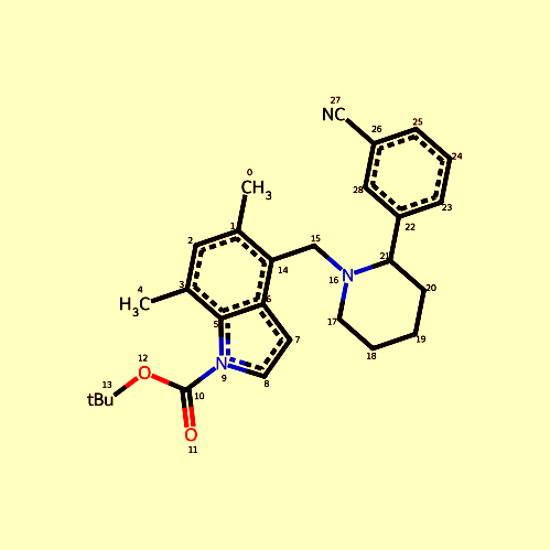 Cc1cc(C)c2c(ccn2C(=O)OC(C)(C)C)c1CN1CCCCC1c1cccc(C#N)c1